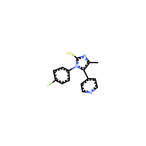 Cc1nc(S)n(-c2ccc(F)cc2)c1-c1ccncc1